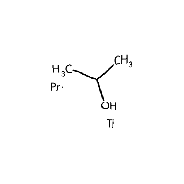 CC(C)O.[Pr].[Ti]